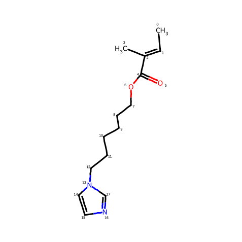 C/C=C(\C)C(=O)OCCCCCCn1ccnc1